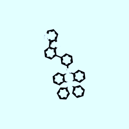 c1ccc([Si]2(c3ccccc3)c3ccccc3N(c3cccc(-c4cccc5c4sc4cccnc45)c3)c3ccccc32)cc1